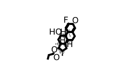 CCC(=O)O[C]1[C@H](C)C[C@H]2[C@@H]3CCC4=CC(=O)C(F)=C[C@]4(C)[C@H]3[C@@H](O)C[C@]12C